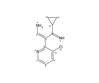 N=C(/C(=C\N)c1ncccc1Cl)C1CC1